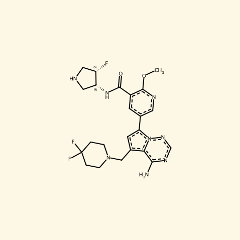 COc1ncc(-c2cc(CN3CCC(F)(F)CC3)c3c(N)ncnn23)cc1C(=O)N[C@@H]1CNC[C@@H]1F